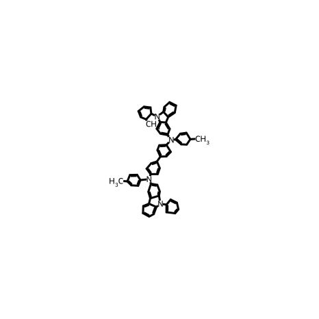 Cc1ccc(N(c2ccc(-c3ccc(N(C4=CCC(C)C=C4)c4ccc5c(c4)c4ccccc4n5C4C=CC=CC4C)cc3)cc2)c2ccc3c(c2)c2ccccc2n3-c2ccccc2)cc1